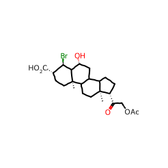 CC(=O)OCC(=O)[C@H]1CCC2C3C[C@@H](O)C4[C@H](Br)[C@@H](C(=O)O)CC[C@]4(C)C3CC[C@@]21C